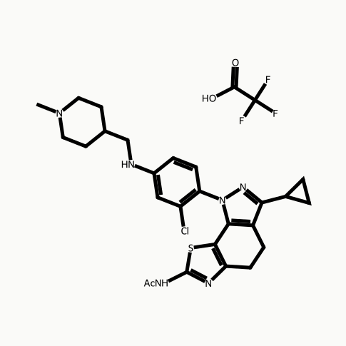 CC(=O)Nc1nc2c(s1)-c1c(c(C3CC3)nn1-c1ccc(NCC3CCN(C)CC3)cc1Cl)CC2.O=C(O)C(F)(F)F